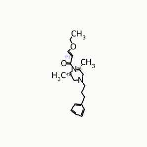 CCO/C=C/C(=O)N1[C@H](C)CN(CCCc2ccccc2)C[C@@H]1C